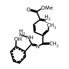 C=C(/C=C\C(=C/C)C(=C)/N=C(\NN)c1ccccc1O)C(=O)OC